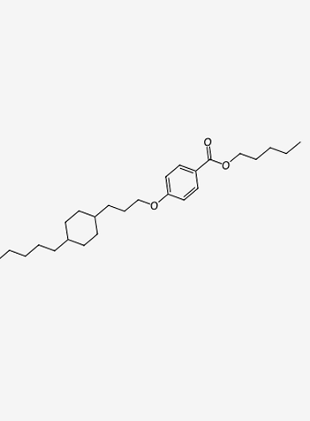 CCCCCOC(=O)c1ccc(OCCCC2CCC(CCCCC)CC2)cc1